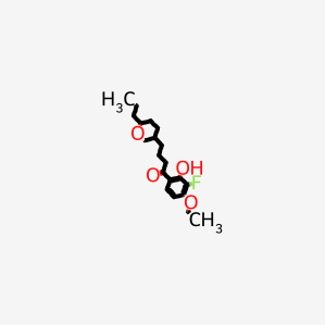 CCCC1CCC(CCCC(=O)c2ccc(OCC)c(F)c2O)CO1